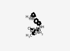 Cc1csc2c(-n3nc(Nc4ccc5c(c4)CCC(NC4CC6CCC4(C)C6)CC5)nc3N)nc(Cl)nc12